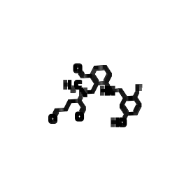 CN(Cc1c(C=O)cccc1NCc1cc(O)ccc1F)C(C=O)CCC=O